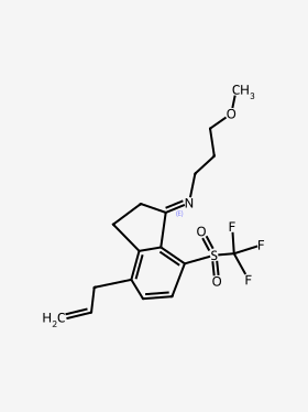 C=CCc1ccc(S(=O)(=O)C(F)(F)F)c2c1CC/C2=N\CCCOC